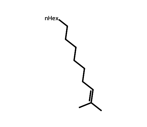 CCCCCCCCCCCCC=C(C)C